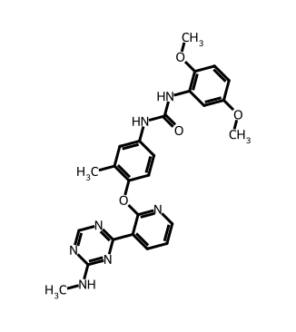 CNc1ncnc(-c2cccnc2Oc2ccc(NC(=O)Nc3cc(OC)ccc3OC)cc2C)n1